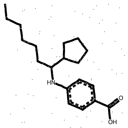 CCCCCCC(Nc1ccc(C(=O)O)cc1)C1CCCC1